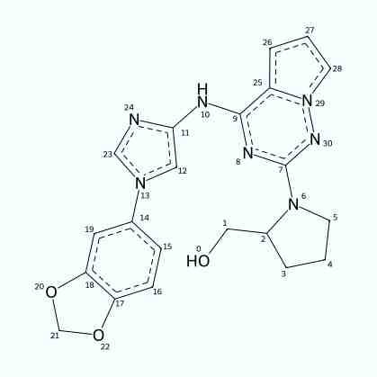 OCC1CCCN1c1nc(Nc2cn(-c3ccc4c(c3)OCO4)cn2)c2cccn2n1